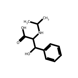 CC(C)NC(C(=O)O)C(O)c1ccccc1